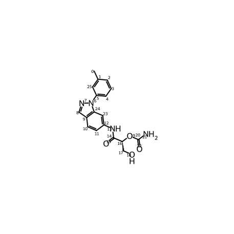 Cc1cccc(-n2ncc3ccc(NC(=O)[C@H](CO)OC(N)=O)cc32)c1